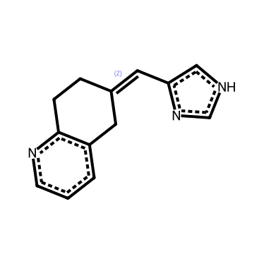 C(=C1\CCc2ncccc2C1)/c1c[nH]cn1